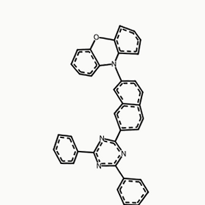 c1ccc(-c2nc(-c3ccccc3)nc(-c3ccc4ccc(N5c6ccccc6Oc6ccccc65)cc4c3)n2)cc1